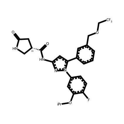 CC(C)Oc1cc(-n2nc(NC(=O)[C@@H]3CNC(=O)C3)cc2-c2cccc(COCC(F)(F)F)c2)ccc1F